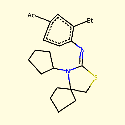 CCc1cc(C(C)=O)ccc1/N=C1/SCC2(CCCC2)N1C1CCCC1